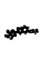 CC(OC(=O)c1cc2cc(C(=O)O)ccc2o1)P(=O)(O)O